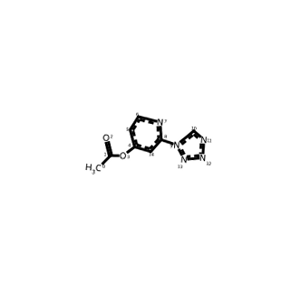 CC(=O)Oc1ccnc(-n2cnnn2)c1